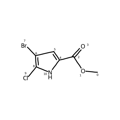 COC(=O)c1cc(Br)c(Cl)[nH]1